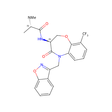 CN[C@@H](C)C(=O)N[C@H]1COc2c(cccc2C(F)(F)F)N(Cc2noc3ccccc23)C1=O